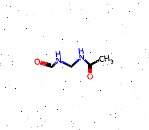 CC(=O)NCN[C]=O